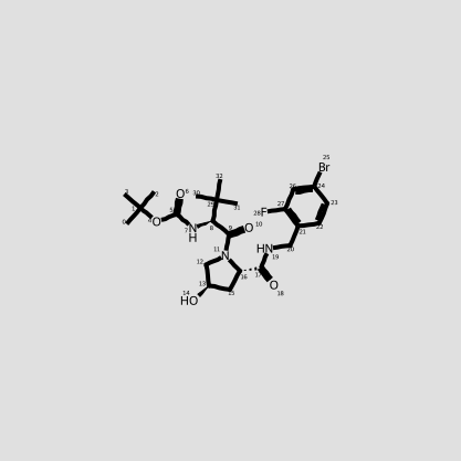 CC(C)(C)OC(=O)N[C@H](C(=O)N1C[C@H](O)C[C@H]1C(=O)NCc1ccc(Br)cc1F)C(C)(C)C